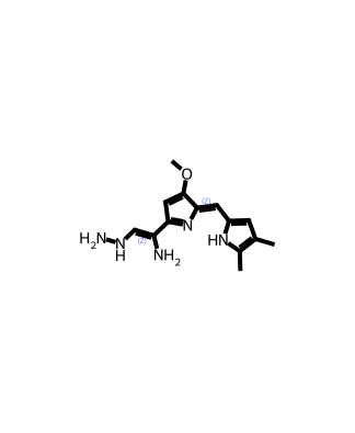 COC1=CC(C(/N)=C/NN)=N/C1=C\c1cc(C)c(C)[nH]1